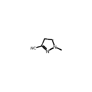 CN1[C]CC(C#N)=N1